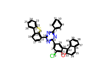 Clc1cc(-c2nc(-c3ccccc3)nc(-c3cccc4c3sc3ccccc34)n2)cc2c1oc1ccc3ccccc3c12